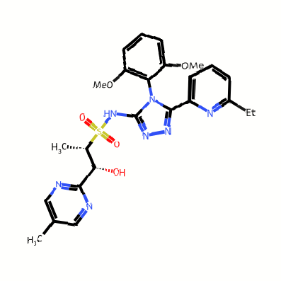 CCc1cccc(-c2nnc(NS(=O)(=O)[C@@H](C)[C@H](O)c3ncc(C)cn3)n2-c2c(OC)cccc2OC)n1